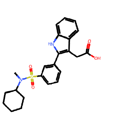 CN(C1CCCCC1)S(=O)(=O)c1cccc(-c2[nH]c3ccccc3c2CC(=O)O)c1